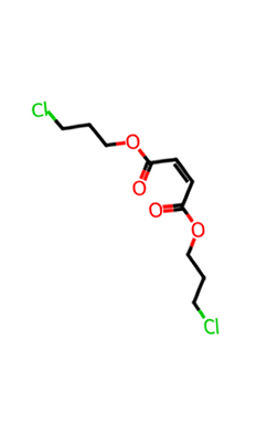 O=C(/C=C\C(=O)OCCCCl)OCCCCl